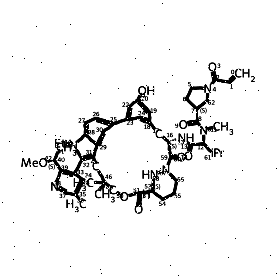 C=CC(=O)N1CC[C@H](C(=O)N(C)C(C(=O)N[C@H]2Cc3cc(O)cc(c3)-c3ccc4c(c3)c(c(-c3cc(C)cnc3[C@H](C)OC)n4CC)CC(C)(C)COC(=O)[C@@H]3CCCN(N3)C2=O)C(C)C)C1